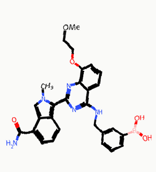 COCCOc1cccc2c(NCc3cccc(B(O)O)c3)nc(-c3c4cccc(C(N)=O)c4cn3C)nc12